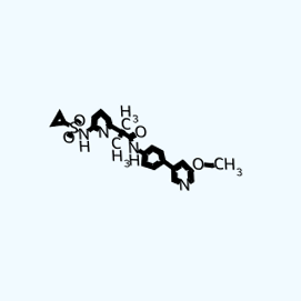 CCOc1cncc(-c2ccc(NC(=O)C(C)(C)c3cccc(NS(=O)(=O)C4CC4)n3)cc2)c1